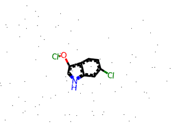 ClOc1c[nH]c2cc(Cl)ccc12